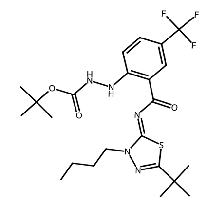 CCCCn1nc(C(C)(C)C)s/c1=N\C(=O)c1cc(C(F)(F)F)ccc1NNC(=O)OC(C)(C)C